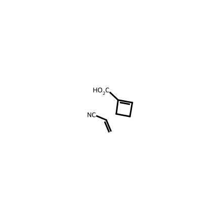 C=CC#N.O=C(O)C1=CCC1